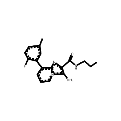 CCCNC(=O)c1nc2c(-c3cc(C)ccc3F)cccn2c1N